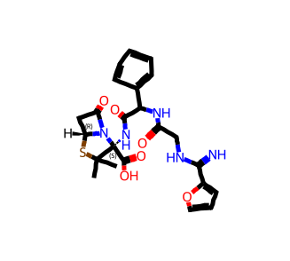 CC1(C)S[C@@H]2CC(=O)N2[C@@]1(NC(=O)C(NC(=O)CNC(=N)c1ccco1)c1ccccc1)C(=O)O